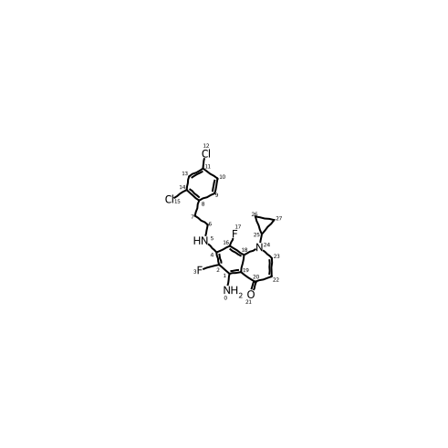 Nc1c(F)c(NCCc2ccc(Cl)cc2Cl)c(F)c2c1c(=O)ccn2C1CC1